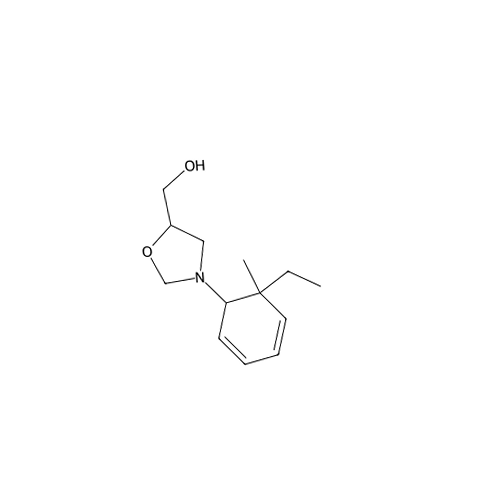 CCC1(C)C=CC=CC1N1COC(CO)C1